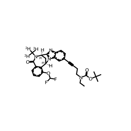 [2H]C([2H])([2H])N1C(=O)c2cccc(OC(F)F)c2[C@H]2C[C@@H]1c1nc3ccc(C#CCCN(CC)C(=O)OC(C)(C)C)cc3n12